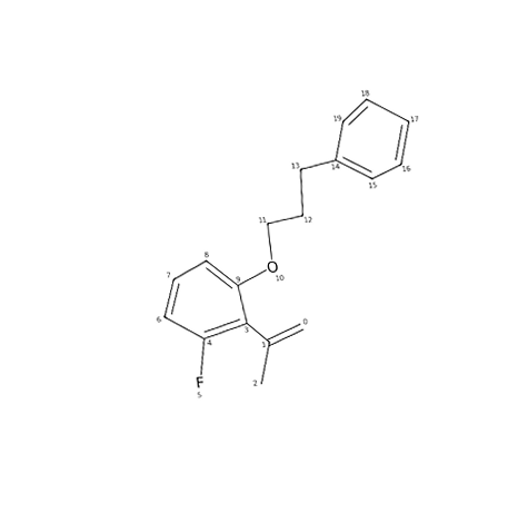 C=C(C)c1c(F)cccc1OCCCc1ccccc1